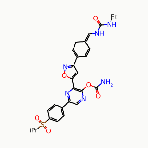 CCNC(=O)NC=C1C=CC(c2cc(-c3nc(-c4ccc(S(=O)(=O)C(C)C)cc4)cnc3OC(N)=O)on2)=CC1